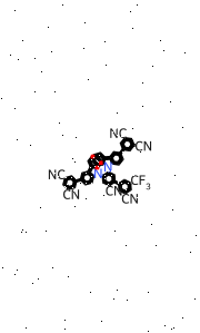 N#Cc1cc(C#N)cc(-c2ccc3c(c2)c2ccccc2n3-c2cc(C#N)c(-c3cc(C#N)cc(C(F)(F)F)c3)cc2-n2c3ccccc3c3cc(-c4cc(C#N)cc(C#N)c4)ccc32)c1